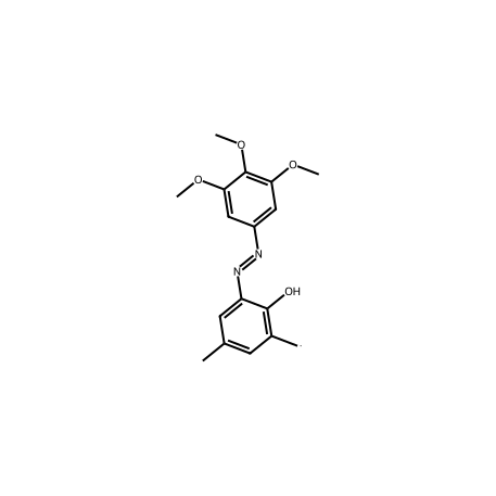 [CH2]c1cc(C)cc(N=Nc2cc(OC)c(OC)c(OC)c2)c1O